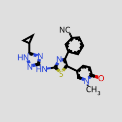 Cn1cc(-c2sc(Nc3n[nH]c(C4CC4)n3)nc2-c2cccc(C#N)c2)ccc1=O